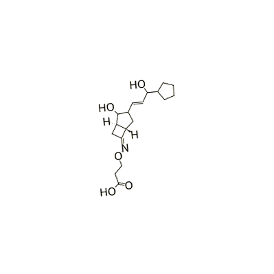 O=C(O)CCON=C1C[C@H]2C(O)C(C=CC(O)C3CCCC3)C[C@H]12